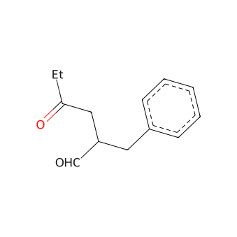 CCC(=O)CC(C=O)Cc1ccccc1